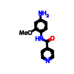 COc1cc(N)ccc1NC(=O)c1ccncc1